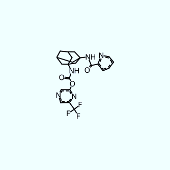 O=C(NC12CC3CC(C1)CC(NC(=O)c1ccccn1)(C3)C2)Oc1cncc(C(F)(F)F)n1